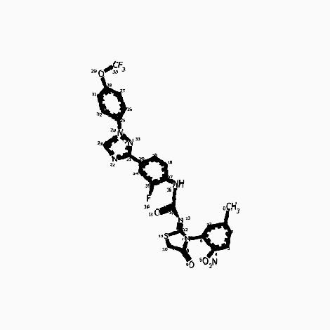 Cc1ccc([N+](=O)[O-])c(N2C(=O)CSC2=NC(=O)Nc2ccc(-c3ncn(-c4ccc(OC(F)(F)F)cc4)n3)cc2F)c1